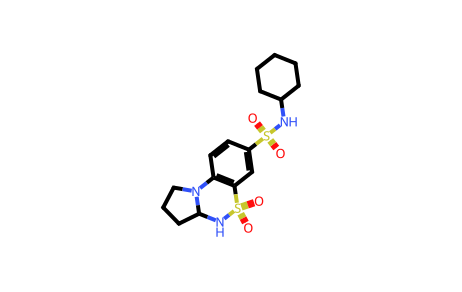 O=S(=O)(NC1CCCCC1)c1ccc2c(c1)S(=O)(=O)NC1CCCN21